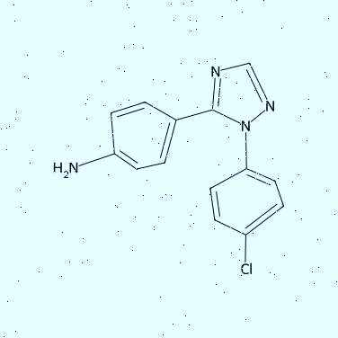 Nc1ccc(-c2ncnn2-c2ccc(Cl)cc2)cc1